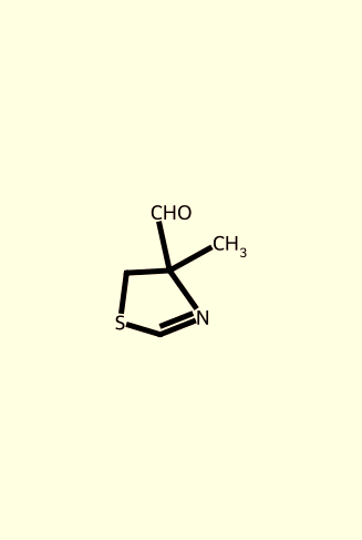 CC1(C=O)CSC=N1